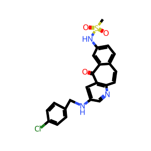 CS(=O)(=O)Nc1ccc2ccc3ncc(NCc4ccc(Cl)cc4)cc3c(=O)c2c1